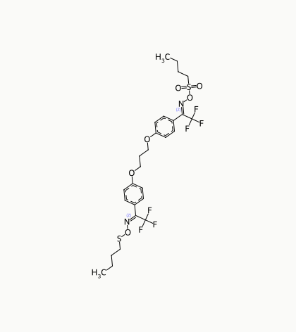 CCCCSO/N=C(/c1ccc(OCCCOc2ccc(/C(=N/OS(=O)(=O)CCCC)C(F)(F)F)cc2)cc1)C(F)(F)F